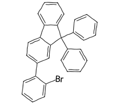 Brc1ccccc1-c1ccc2c(c1)C(c1ccccc1)(c1ccccc1)c1ccccc1-2